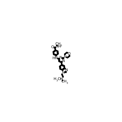 CNC(=O)c1ccc(Nc2cc(-c3ccc4c(c3)ncn4CCN(C)C)nc(N3CCOCC3)n2)cc1